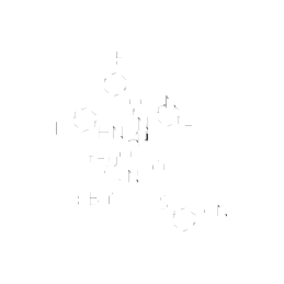 CCCCOC(=O)N1CC(CCc2c(F)cncc2NC(=O)C(NC(=O)OC(C)(C)C)C(c2ccc(F)cc2)c2ccc(F)cc2)OC(CSc2cccc(C#N)c2)C1